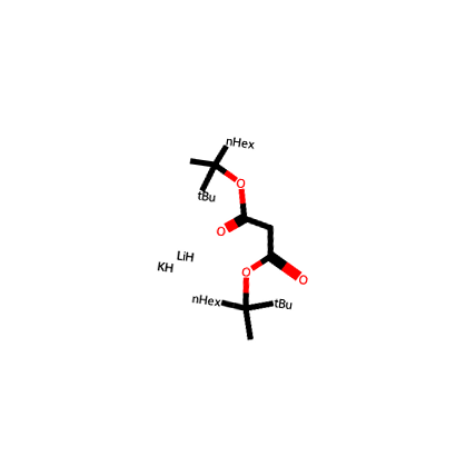 CCCCCCC(C)(OC(=O)CC(=O)OC(C)(CCCCCC)C(C)(C)C)C(C)(C)C.[KH].[LiH]